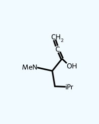 C=C=C(O)C(CC(C)C)NC